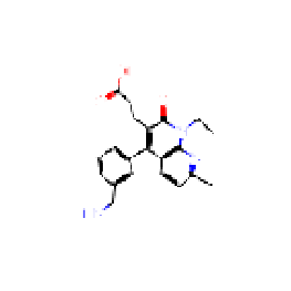 CCn1c(=O)c(CCC(=O)O)c(-c2cccc(CN)c2)c2ccc(C)nc21